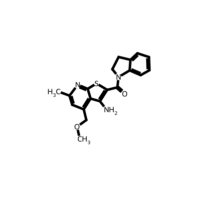 COCc1cc(C)nc2sc(C(=O)N3CCc4ccccc43)c(N)c12